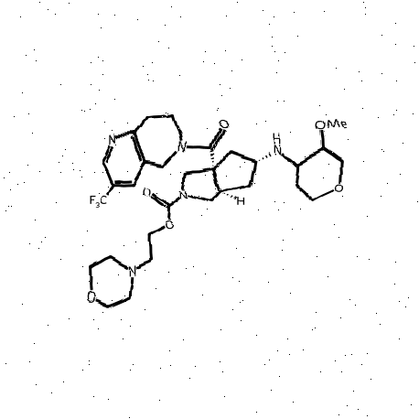 COC1COCCC1N[C@@H]1C[C@H]2CN(C(=O)OCCN3CCOCC3)C[C@@]2(C(=O)N2CCc3ncc(C(F)(F)F)cc3C2)C1